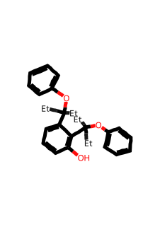 CCC(CC)(Oc1ccccc1)c1cccc(O)c1C(CC)(CC)Oc1ccccc1